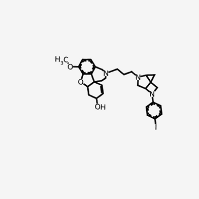 COc1ccc2c3c1OC1CC(O)C=CC31CCN(CCCN1CC3N(c4ccc(I)cc4)CC34CC14)C2